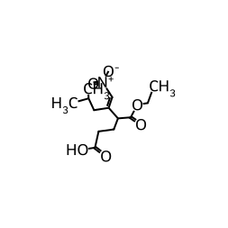 CCOC(=O)C(CCC(=O)O)C(=C[N+](=O)[O-])CC(C)C